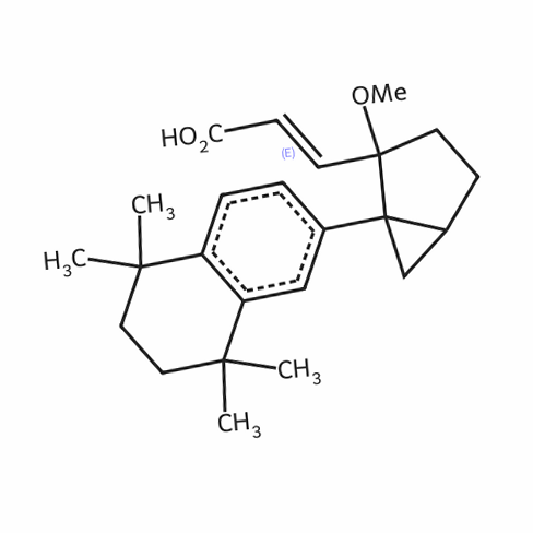 COC1(/C=C/C(=O)O)CCC2CC21c1ccc2c(c1)C(C)(C)CCC2(C)C